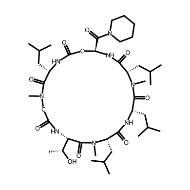 CC(C)C[C@@H]1NC(=O)C[C@@H](C(=O)N2CCCCC2)NC(=O)[C@H](CC(C)C)N(C)C(=O)[C@H](CC(C)C)NC(=O)[C@H](CC(C)C)N(C)C(=O)[C@H]([C@@H](C)O)NC(=O)CN(C)C1=O